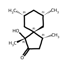 C[C@@H]1C[C@H](C)C[C@@]2(C1)[C@H](C)CC(=O)[C@]2(C)O